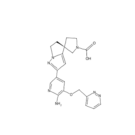 Nc1ncc(-c2cc3n(n2)CC[C@]32CCN(C(=O)O)C2)cc1OCc1cccnn1